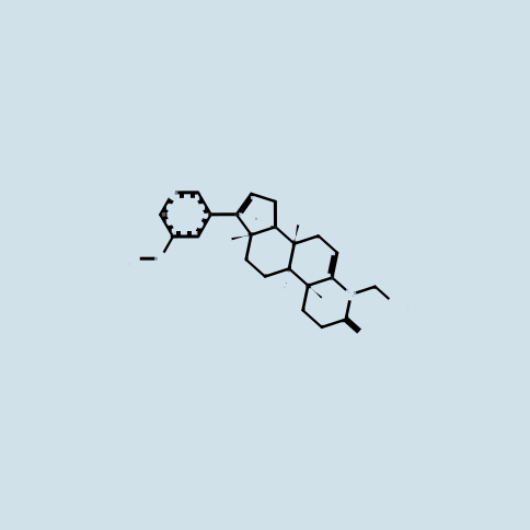 CCN1C(=O)CC[C@@]2(C)C1=CC[C@@H]1[C@@H]2CC[C@]2(C)C(c3cncc(OC)c3)=CC[C@@H]12